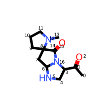 CC(=O)C1CNC2CC3(CCCN3C)C(=O)N21